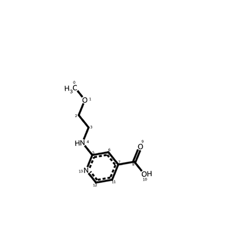 COCCNc1cc(C(=O)O)ccn1